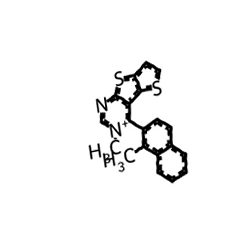 Cc1c(-c2c3c(nc[n+]2C)sc2ccsc23)ccc2ccccc12